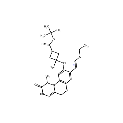 CCO/C=C/c1cc2c(cc1NC1(C)CN(C(=O)OC(C)(C)C)C1)N1C(=NNC(=O)C1C)CO2